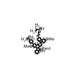 C=C(C)/C(=C/CC)OCCOc1ccc(C2(c3ccc(OC)cc3)C=Cc3c4c(c5cc(OC)c(-c6ccc(N(C)C)cc6)cc5c3O2)-c2ccccc2C4(CCC)CCCCC)cc1